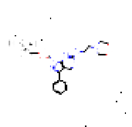 C[Si](C)(C)CCOCn1nc(-c2ccccc2)c2cnc(NCCN3CCOCC3)nc21